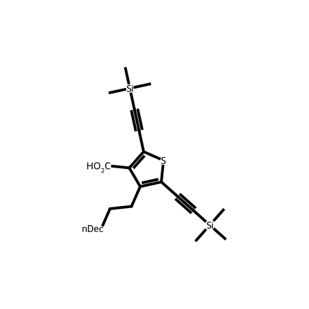 CCCCCCCCCCCCc1c(C#C[Si](C)(C)C)sc(C#C[Si](C)(C)C)c1C(=O)O